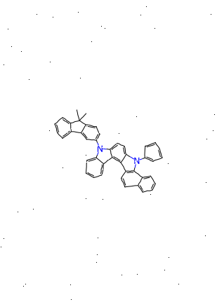 CC1(C)c2ccccc2-c2cc(-n3c4ccccc4c4c5c6ccc7ccccc7c6n(-c6ccccc6)c5ccc43)ccc21